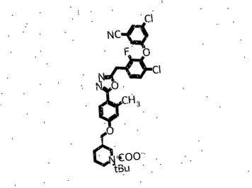 Cc1cc(OC[C@@H]2CCC[N+](C(=O)[O-])(C(C)(C)C)C2)ccc1-c1nnc(Cc2ccc(Cl)c(Oc3cc(Cl)cc(C#N)c3)c2F)o1